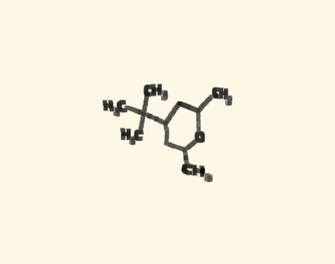 CC1CC(C(C)(C)C)CC(C)O1